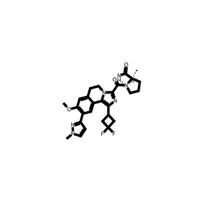 COc1cc2c(cc1-c1ccn(C)n1)-c1c(C3CC(F)(F)C3)nc(C(=O)N3CCC[C@]3(C)C(N)=O)n1CC2